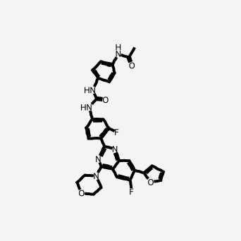 CC(=O)Nc1ccc(NC(=O)Nc2ccc(-c3nc(N4CCOCC4)c4cc(F)c(-c5ccco5)cc4n3)c(F)c2)cc1